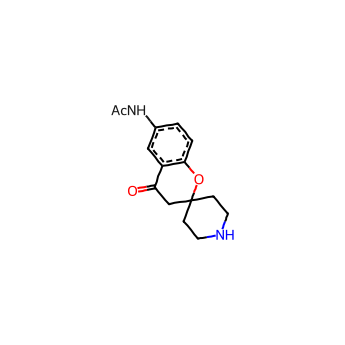 CC(=O)Nc1ccc2c(c1)C(=O)CC1(CCNCC1)O2